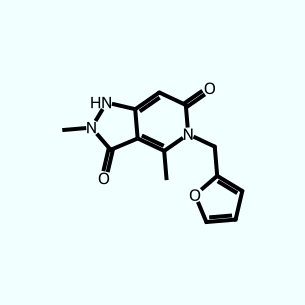 Cc1c2c(=O)n(C)[nH]c2cc(=O)n1Cc1ccco1